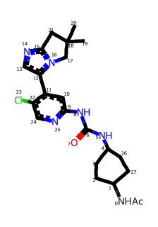 CC(=O)NC1CCC(NC(=O)Nc2cc(-c3cnc4n3CC(C)(C)C4)c(Cl)cn2)CC1